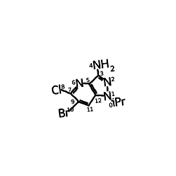 CC(C)n1nc(N)c2nc(Cl)c(Br)cc21